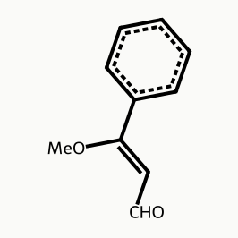 COC(=CC=O)c1ccccc1